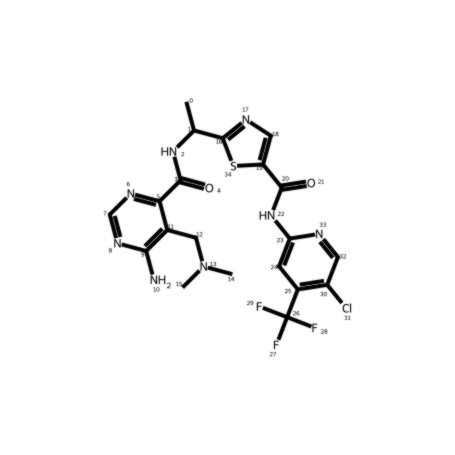 CC(NC(=O)c1ncnc(N)c1CN(C)C)c1ncc(C(=O)Nc2cc(C(F)(F)F)c(Cl)cn2)s1